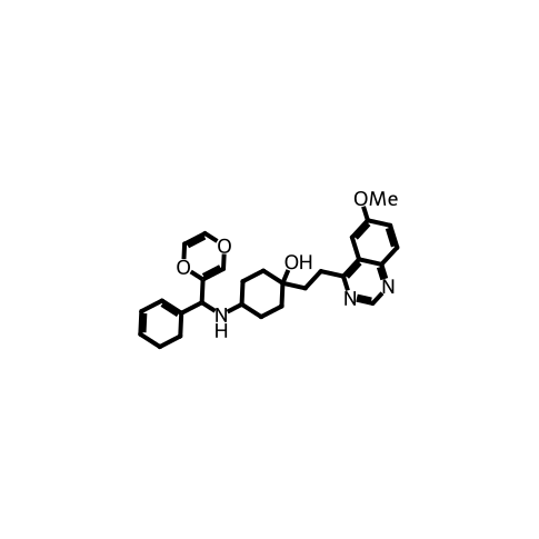 COc1ccc2ncnc(CCC3(O)CCC(NC(C4=CC=CCC4)C4=COC=CO4)CC3)c2c1